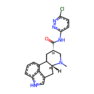 CN1C[C@@H](C(=O)Nc2ccc(Cl)nn2)CC2c3cccc4[nH]cc(c34)C[C@H]21